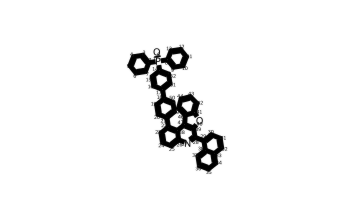 O=P(c1ccccc1)(c1ccccc1)c1ccc(-c2ccc(-c3cccc4nc(-c5cccc6ccccc56)c5oc6ccccc6c5c34)cc2)cc1